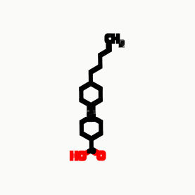 C=CCCCC1CCC([SiH]2CCC(C(=O)O)CC2)CC1